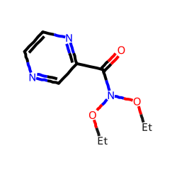 CCON(OCC)C(=O)c1cnccn1